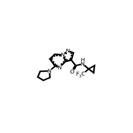 O=C(NC1(C(F)(F)F)CC1)c1cnn2ccc(N3CCCC3)nc12